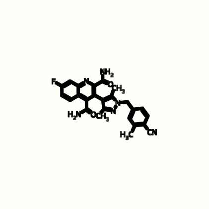 Cc1cc(Cn2nc(C)c(-c3c(C(N)=O)nc4cc(F)ccc4c3C(N)=O)c2C)ccc1C#N